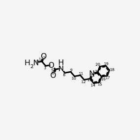 NC(=O)COC(=O)NCCCCCc1ccc2ccccc2n1